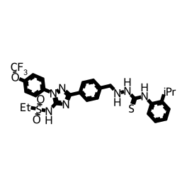 CCS(=O)(=O)Nc1nc(-c2ccc(CNNC(=S)Nc3ccccc3C(C)C)cc2)nn1-c1ccc(OC(F)(F)F)cc1